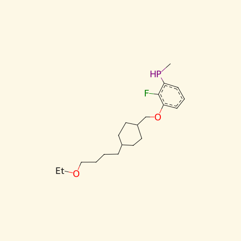 CCOCCCCC1CCC(COc2cccc(PC)c2F)CC1